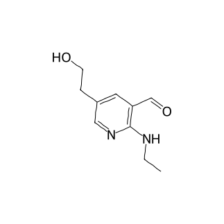 CCNc1ncc(CCO)cc1C=O